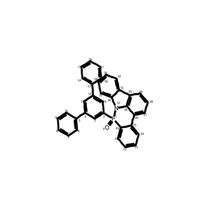 O=P1(c2cc(-c3ccccc3)cc(-c3ccccc3)c2)c2ccccc2-c2cccc3c4ccccc4n1c23